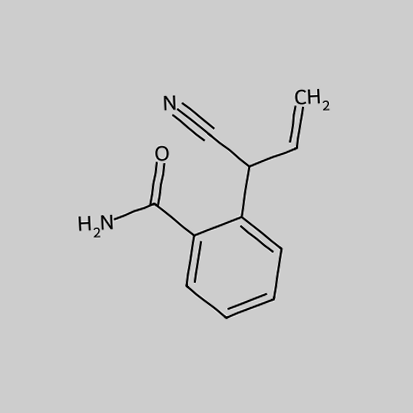 C=CC(C#N)c1ccccc1C(N)=O